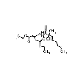 CCOC(=O)/C=C(\CC(=O)OCC)ONC(=N)C(C)(C)CCCCSC